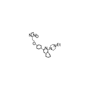 CCN1CCN(c2nc(-c3ccc(OCCC4=NC=C[N+]4=O)cc3)cc3ccccc23)CC1